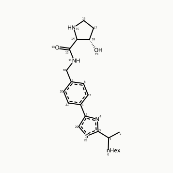 CCCCCCC(C)c1nc(-c2ccc(CNC(=O)C3NCC[C@@H]3O)cc2)cs1